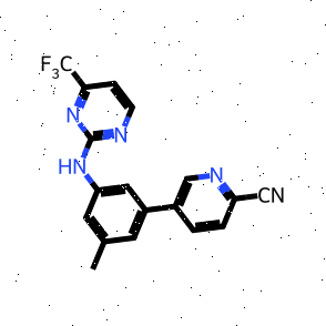 Cc1cc(Nc2nccc(C(F)(F)F)n2)cc(-c2ccc(C#N)nc2)c1